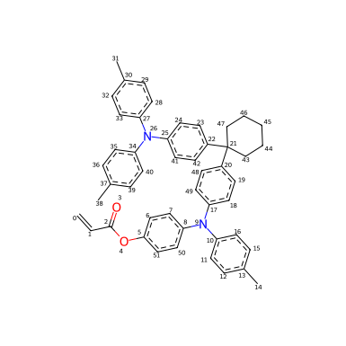 C=CC(=O)Oc1ccc(N(c2ccc(C)cc2)c2ccc(C3(c4ccc(N(c5ccc(C)cc5)c5ccc(C)cc5)cc4)CCCCC3)cc2)cc1